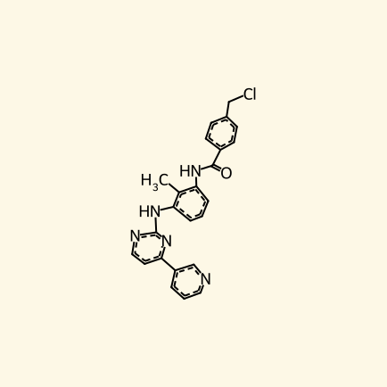 Cc1c(NC(=O)c2ccc(CCl)cc2)cccc1Nc1nccc(-c2cccnc2)n1